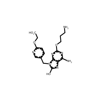 NCCCOc1nc(N)c2nc(O)n(Cc3ccc(OCC(=O)O)nc3)c2n1